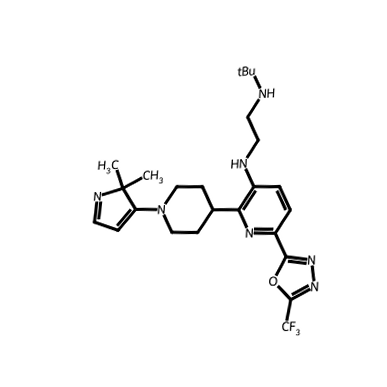 CC(C)(C)NCCNc1ccc(-c2nnc(C(F)(F)F)o2)nc1C1CCN(C2=CC=NC2(C)C)CC1